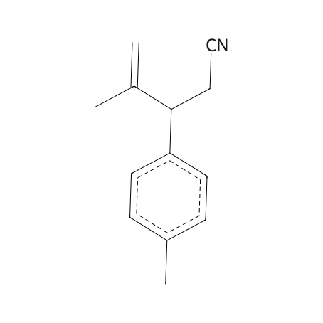 C=C(C)C(CC#N)c1ccc(C)cc1